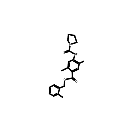 Cc1ccccc1COC(=O)c1cc(C)c(NC(=S)N2CCCC2)cc1C